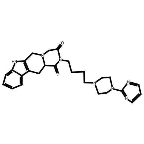 O=C1CN2Cc3[nH]c4ccccc4c3CC2C(=O)N1CCCCN1CCN(c2ncccn2)CC1